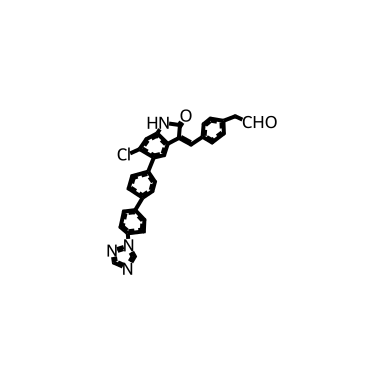 O=CCc1ccc(C=C2C(=O)Nc3cc(Cl)c(-c4ccc(-c5ccc(-n6cncn6)cc5)cc4)cc32)cc1